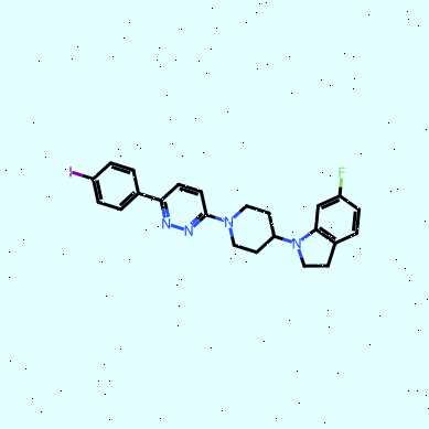 Fc1ccc2c(c1)N(C1CCN(c3ccc(-c4ccc(I)cc4)nn3)CC1)CC2